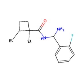 CCC1CCC1(CC)C(=O)NC(N)c1ccccc1F